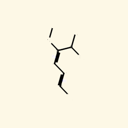 CN/C(=C/C=C/F)C(C)F